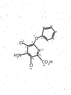 Nc1c(Cl)c(Oc2ccccc2)nc(C(=O)O)c1Cl